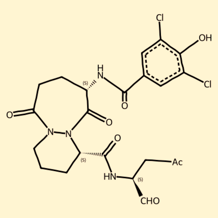 CC(=O)C[C@@H](C=O)NC(=O)[C@@H]1CCCN2C(=O)CC[C@H](NC(=O)c3cc(Cl)c(O)c(Cl)c3)C(=O)N12